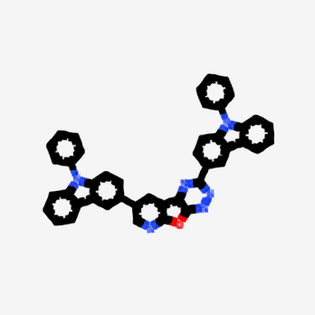 c1ccc(-n2c3ccccc3c3cc(-c4cnc5oc6nnc(-c7ccc8c(c7)c7ccccc7n8-c7ccccc7)nc6c5c4)ccc32)cc1